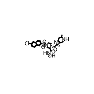 CC1Cc2nc(C(=O)N3CCN(S(=O)(=O)c4ccc5cc(Cl)ccc5c4)CC3C(=O)NO)sc2CN1